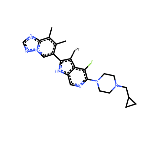 Cc1c(-c2[nH]c3cnc(N4CCN(CC5CC5)CC4)c(F)c3c2C(C)C)cn2ncnc2c1C